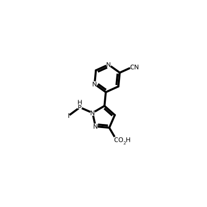 N#Cc1cc(-c2cc(C(=O)O)nn2PI)ncn1